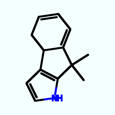 CC1(C)C2=CC=CCC2c2cc[nH]c21